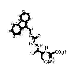 COCC(NC(=O)C(=O)O)C(=O)NNC(=O)OCC1c2ccccc2-c2ccccc21